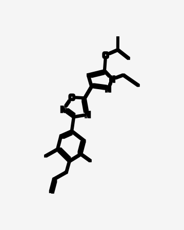 C=CCc1c(C)cc(-c2noc(-c3cc(OC(C)C)n(CC)n3)n2)cc1C